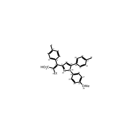 CCC(C(=O)O)=C(c1ccc(C)cc1)c1cc(-c2ccc(C)cc2)n(-c2ccc(OC)cc2)n1